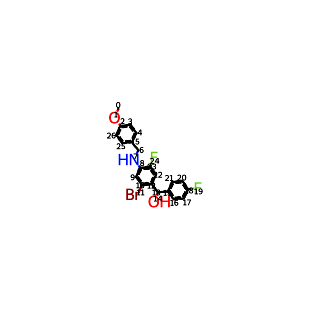 COc1ccc(CNc2cc(Br)c(C(O)c3ccc(F)cc3)cc2F)cc1